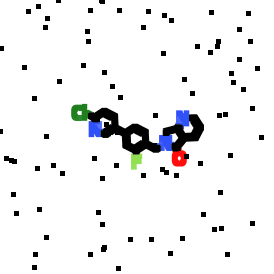 O=C1C2=C=C=CN=C2CN1Cc1ccc(-c2ccc(Cl)nc2)cc1F